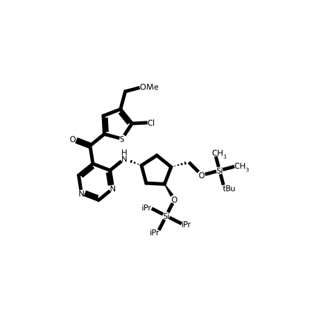 COCc1cc(C(=O)c2cncnc2N[C@@H]2C[C@H](CO[Si](C)(C)C(C)(C)C)[C@@H](O[Si](C(C)C)(C(C)C)C(C)C)C2)sc1Cl